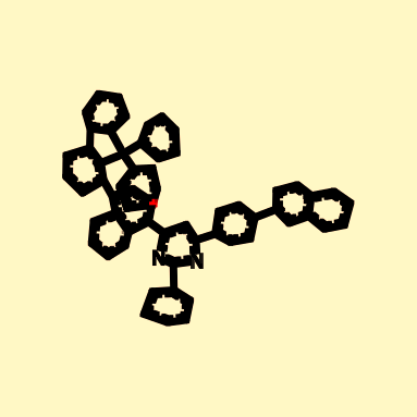 c1ccc(-c2nc(-c3ccc(-c4ccc5ccccc5c4)cc3)cc(-c3ccc(-c4cccc5c4C(c4ccccc4)(c4ccccc4)c4ccccc4-5)c4ccccc34)n2)cc1